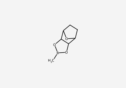 CB1OC2C3CCC(O3)C2O1